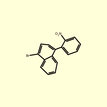 O=[N+]([O-])c1ccccc1-c1ccc(Br)c2ccccc12